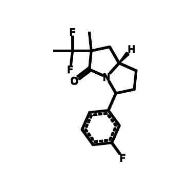 CC(F)(F)C1(C)C[C@@H]2CCC(c3cccc(F)c3)N2C1=O